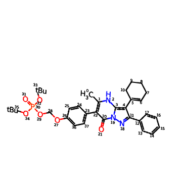 Cc1[nH]c2c(C3=CCCCC3)c(-c3ccccc3)nn2c(=O)c1-c1ccc(OCOP(=O)(OC(C)(C)C)OC(C)(C)C)cc1